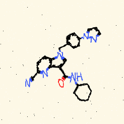 N#Cc1ccc2c(n1)c(C(=O)NC1CCCCC1)cn2Cc1ccc(-n2cccn2)cc1